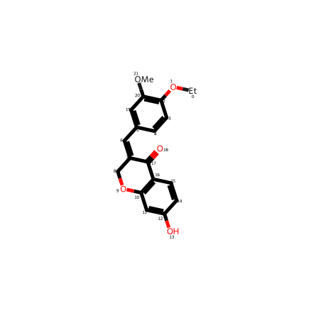 CCOc1ccc(C=C2COc3cc(O)ccc3C2=O)cc1OC